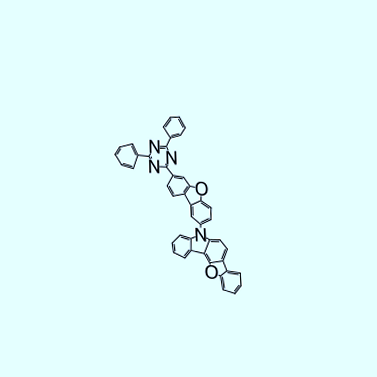 c1ccc(-c2nc(-c3ccccc3)nc(-c3ccc4c(c3)oc3ccc(-n5c6ccccc6c6c7oc8ccccc8c7ccc65)cc34)n2)cc1